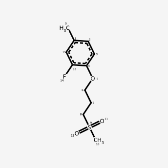 Cc1ccc(OCCCS(C)(=O)=O)c(F)c1